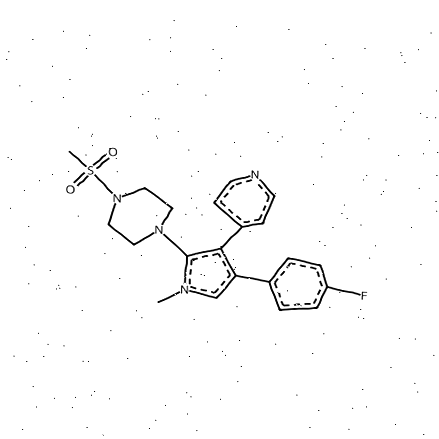 Cn1cc(-c2ccc(F)cc2)c(-c2ccncc2)c1N1CCN(S(C)(=O)=O)CC1